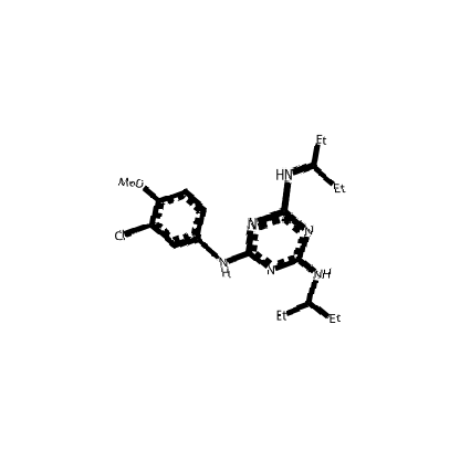 CCC(CC)Nc1nc(Nc2ccc(OC)c(Cl)c2)nc(NC(CC)CC)n1